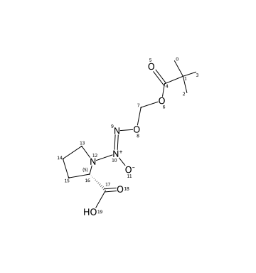 CC(C)(C)C(=O)OCON=[N+]([O-])N1CCC[C@H]1C(=O)O